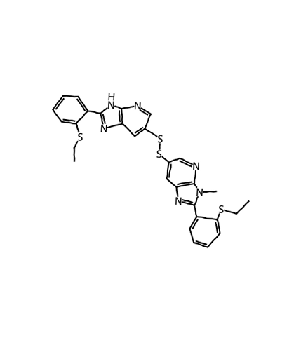 CCSc1ccccc1-c1nc2cc(SSc3cnc4c(c3)nc(-c3ccccc3SCC)n4C)cnc2[nH]1